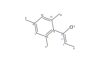 C/C=C(\Cl)c1c(C)cc(C)cc1C